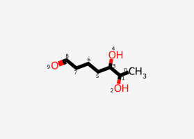 CC(O)C(O)CCCC=O